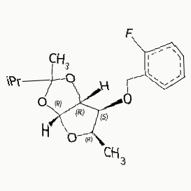 CC(C)C1(C)O[C@H]2O[C@H](C)[C@H](OCc3ccccc3F)[C@H]2O1